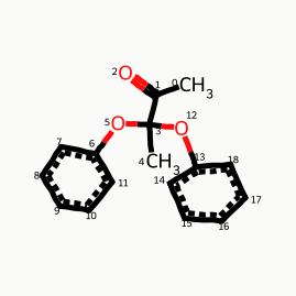 CC(=O)C(C)(Oc1ccccc1)Oc1ccccc1